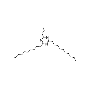 [CH2]CCc1nc(CCCCCCCCCC)nc(CCCCCCCCCC)n1